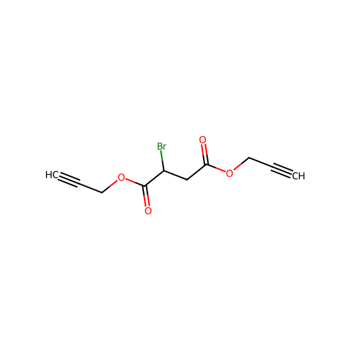 C#CCOC(=O)CC(Br)C(=O)OCC#C